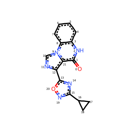 O=c1[nH]c2ccccc2n2cnc(-c3nc(C4CC4)no3)c12